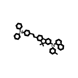 Cc1cccc(N(c2ccc3c(c2)C(C)(C)c2cc(/C=C/c4ccc(N(c5ccccc5)c5ccccc5)cc4)ccc2-3)c2cccc3ccccc23)c1